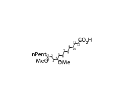 CCCCCC(CCC(CCCCCCCCC(=O)O)OC)OC